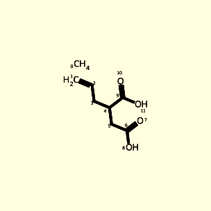 C.C=CCC(CC(=O)O)C(=O)O